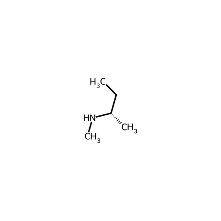 CC[C@H](C)NC